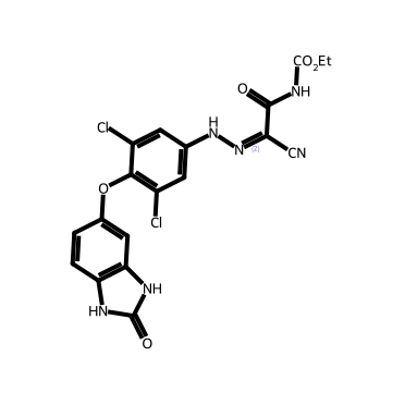 CCOC(=O)NC(=O)/C(C#N)=N\Nc1cc(Cl)c(Oc2ccc3[nH]c(=O)[nH]c3c2)c(Cl)c1